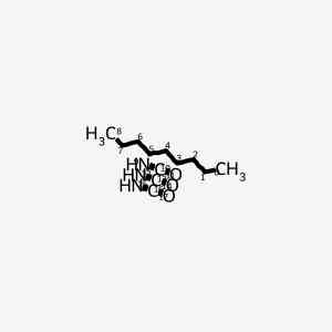 CCCCCCCCC.N=C=O.N=C=O.N=C=O